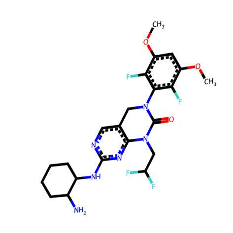 COc1cc(OC)c(F)c(N2Cc3cnc(NC4CCCCC4N)nc3N(CC(F)F)C2=O)c1F